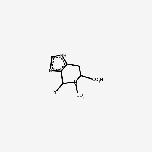 CC(C)C1c2nc[nH]c2CC(C(=O)O)N1C(=O)O